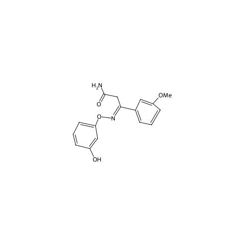 COc1cccc(/C(CC(N)=O)=N/Oc2cccc(O)c2)c1